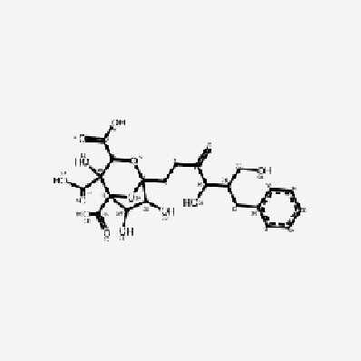 C=C(CCC12OC(C(=O)O)C(O)(C(=O)O)C(C(=O)O)(O1)C(O)C2O)C(O)C(CO)Cc1ccccc1